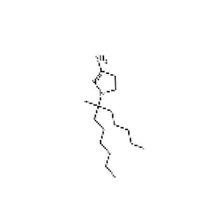 CCCCCCC(C)(CCCCC)N1CCC(N)=N1